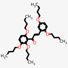 CCCCOc1ccc(OCCCC)c(C=CC(=O)c2c(OCCCC)ccc(OCCCC)c2OCCCC)c1